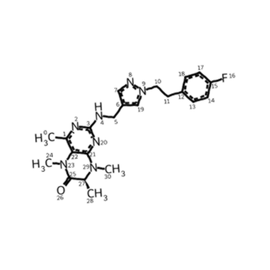 Cc1nc(NCc2cnn(CCc3ccc(F)cc3)c2)nc2c1N(C)C(=O)[C@H](C)N2C